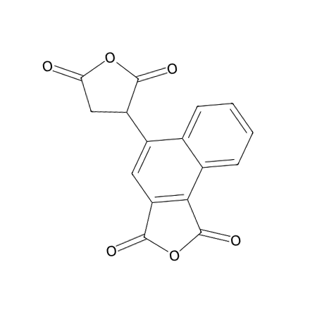 O=C1CC(c2cc3c(c4ccccc24)C(=O)OC3=O)C(=O)O1